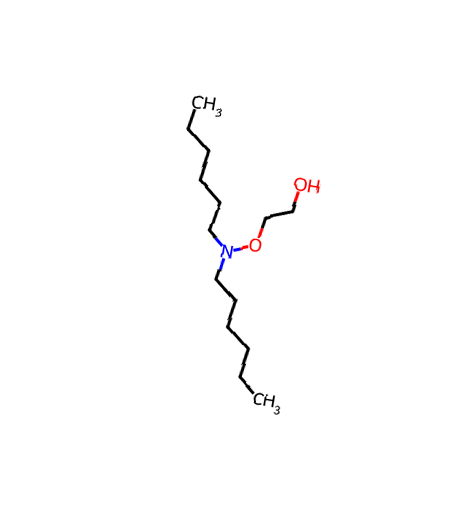 CCCCCCN(CCCCCC)OCCO